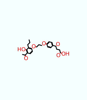 CCCc1c(OCCCOc2ccc(C(=O)CCC(=O)O)cc2)ccc(C(C)=O)c1O